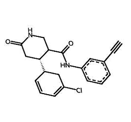 C#Cc1cccc(NC(=O)C2CNC(=O)C[C@H]2C2C=CC=C(Cl)C2)c1